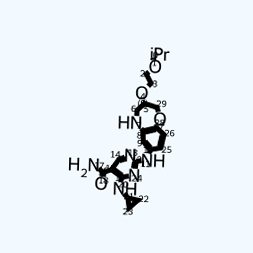 CC(C)OCCO[C@H]1CNc2cc(Nc3ncc(C(N)=O)c(NC4CC4)n3)ccc2OC1